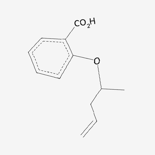 C=CCC(C)Oc1ccccc1C(=O)O